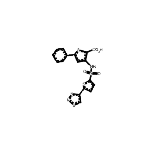 O=C(O)c1sc(-c2ccccc2)cc1NS(=O)(=O)c1ccc(-c2csnn2)s1